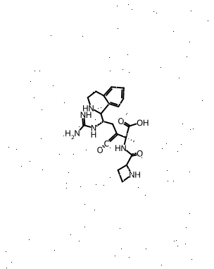 C[C@@](NC(=O)C1CCN1)(C(=O)O)C(=C=O)CC(NC(=N)N)C1NCCc2ccccc21